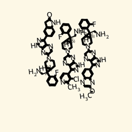 COc1cnc2ccc(-c3n[nH]c4nc(N5CC[C@@H]6[C@H](C5)[C@@]6(CN)c5ccccc5F)cnc34)cc2n1.Cc1nccc(-c2n[nH]c3nc(N4CC[C@@H]5[C@H](C4)[C@@]5(CN)c4ccccc4F)cnc23)c1Cl.NC[C@]1(c2ccccc2F)[C@@H]2CCN(c3cnc4c(-c5ccc6c(c5)CC(=O)N6)n[nH]c4n3)C[C@@H]21